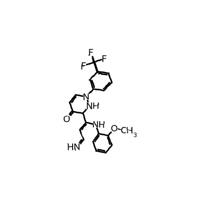 COc1ccccc1N/C(=C\C=N)C1NN(c2cccc(C(F)(F)F)c2)C=CC1=O